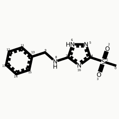 CS(=O)(=O)c1n[nH]c(NCc2ccccc2)n1